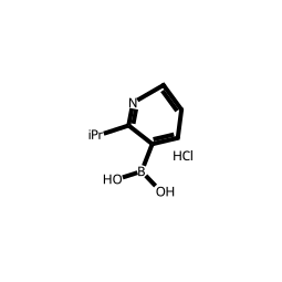 CC(C)c1ncccc1B(O)O.Cl